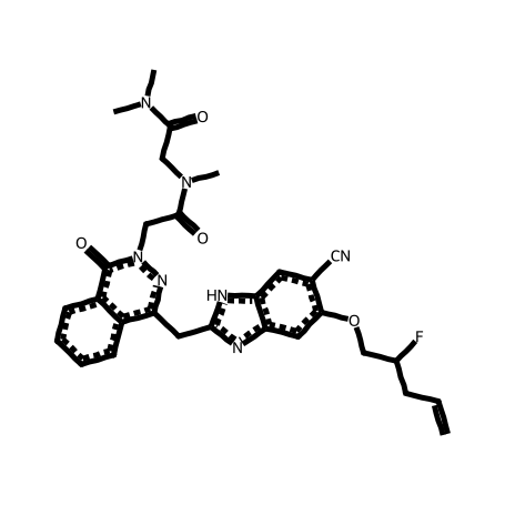 C=CCC(F)COc1cc2nc(Cc3nn(CC(=O)N(C)CC(=O)N(C)C)c(=O)c4ccccc34)[nH]c2cc1C#N